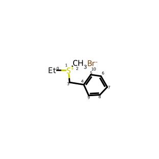 CC[S+](C)Cc1ccccc1.[Br-]